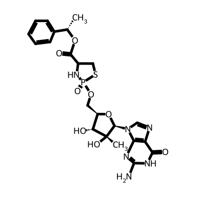 C[C@H](OC(=O)C1CSP(=O)(OC[C@H]2O[C@@H](n3cnc4c(=O)[nH]c(N)nc43)[C@](C)(O)[C@@H]2O)N1)c1ccccc1